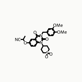 COc1ccc(Cn2c(=O)c3cc(OC(C)C#N)ccc3n(C3CCS(=O)(=O)CC3)c2=O)cc1OC